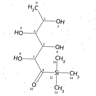 CC(O)C(O)C(O)C(O)C(=O)[Si](C)(C)C